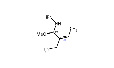 C/C=C(/CN)[C@H](NC(C)C)OC